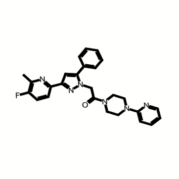 Cc1nc(-c2cc(-c3ccccc3)n(CC(=O)N3CCN(c4ccccn4)CC3)n2)ccc1F